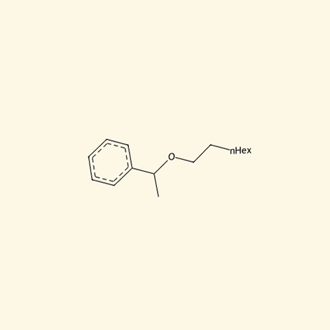 CCCCCCCCOC(C)c1ccccc1